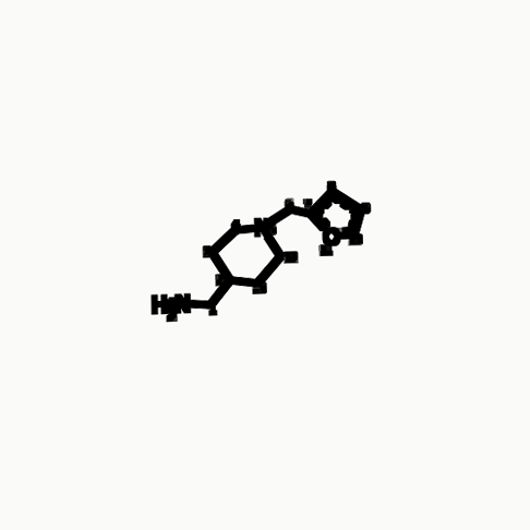 NCC1CCN(Cc2ccco2)CC1